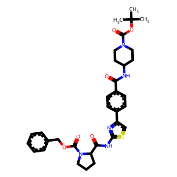 CC(C)(C)OC(=O)N1CCC(NC(=O)c2ccc(-c3csc(NC(=O)C4CCCN4C(=O)OCc4ccccc4)n3)cc2)CC1